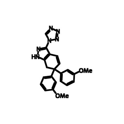 COc1cccc(C2(c3cccc(OC)c3)C=Cc3c(-n4cnnn4)n[nH]c3C2)c1